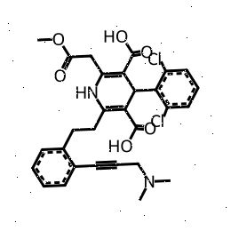 COC(=O)CC1=C(C(=O)O)C(c2c(Cl)cccc2Cl)C(C(=O)O)=C(CCc2ccccc2C#CCN(C)C)N1